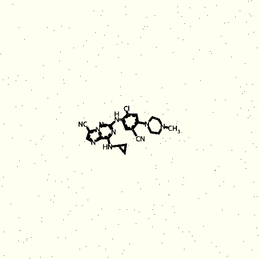 CN1CCN(c2cc(Cl)c(Nc3nc(NC4CC4)c4ncc(C#N)n4n3)cc2C#N)CC1